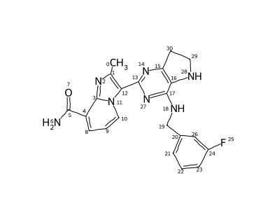 Cc1nc2c(C(N)=O)cccn2c1-c1nc2c(c(NCc3cccc(F)c3)n1)NCC2